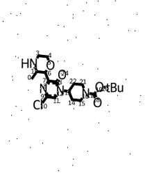 CC1NCCOC1c1nc(Cl)cn(C2CCN(C(=O)OC(C)(C)C)CC2)c1=O